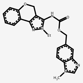 CCn1nc2c(c1NC(=O)OCc1ccc3c(c1)ncn3C)COc1ccccc1-2